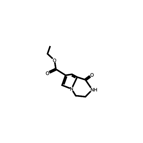 CCOC(=O)c1cc2n(c1)CCNC2=O